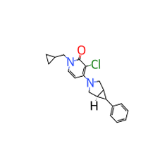 O=c1c(Cl)c(N2CC3C(c4ccccc4)[C@H]3C2)ccn1CC1CC1